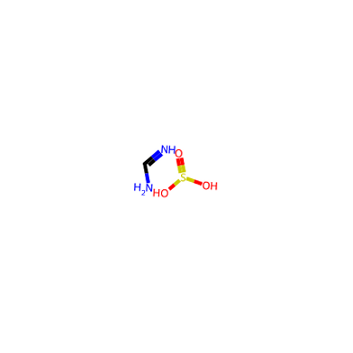 N=CN.O=S(O)O